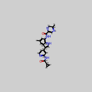 Cc1cc(NC(=O)c2cnc(C)cn2)c2[nH]cc(-c3ccnc(NC(=O)C4CC4)c3)c2c1